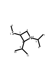 CSC1CN(C(C)C)C1C(C)C